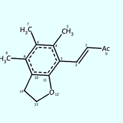 CC(=O)C=Cc1c(C)c(C)c(C)c2c1OCC2